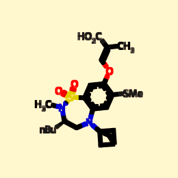 CCCC[C@@H]1CN(C23CC(C2)C3)c2cc(SC)c(O/C=C(\C)C(=O)O)cc2S(=O)(=O)N1C